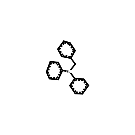 c1ccc([CH2][Sb]([c]2ccccc2)[c]2ccccc2)cc1